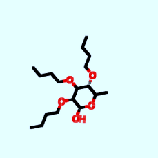 CCCCOC1[C@H](OCCCC)C(C)O[C@@H](O)[C@H]1OCCCC